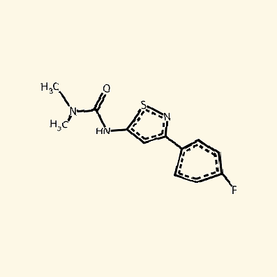 CN(C)C(=O)Nc1cc(-c2ccc(F)cc2)ns1